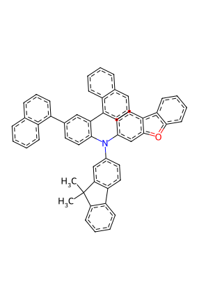 CC1(C)c2ccccc2-c2ccc(N(c3ccc4c(c3)oc3ccccc34)c3ccc(-c4cccc5ccccc45)cc3-c3cccc4ccccc34)cc21